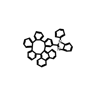 c1ccc(-n2c(-c3ccc4c5ccccc5c5ccccc5c5ccccc5c5c6ccccc6c6ccccc6c5c4c3)nc3ccccc32)cc1